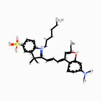 CCN(CC)c1ccc2c(c1)OC(C(C)(C)C)=CC2=CC=CC1=[N+](CCCCCC(=O)O)c2ccc(S(=O)(=O)[O-])cc2C1(C)C